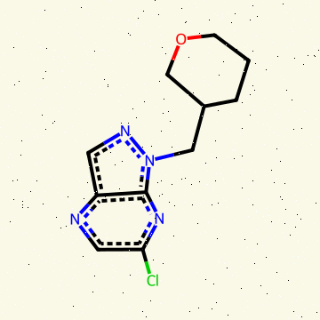 Clc1cnc2cnn(CC3CCCOC3)c2n1